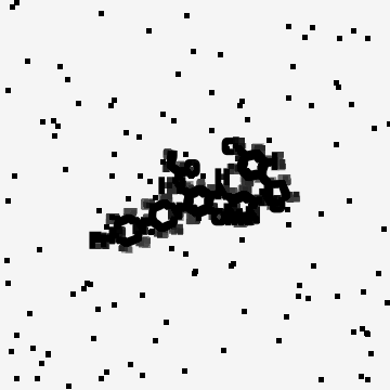 C=CC(=O)Nc1cc(Nc2cc(N3OCCC3c3ccc(Cl)cc3F)ncn2)c(OC)cc1N1CCC(N2CCN(CC)CC2)CC1